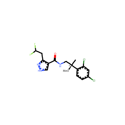 CO[C@](C)(CNC(=O)c1c[nH]nc1CC(F)F)c1ccc(Cl)cc1Cl